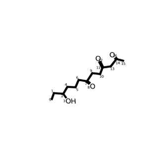 CCC(O)CCCC(=O)CCC(=O)CC(C)=O